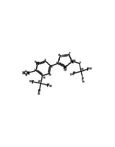 Nc1ncc(-c2ccn(CC(F)(F)F)n2)cc1C(F)(F)F